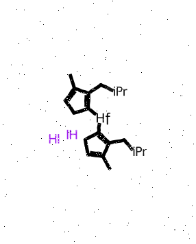 CC1=CC[C]([Hf][C]2=C(CC(C)C)C(C)=CC2)=C1CC(C)C.I.I